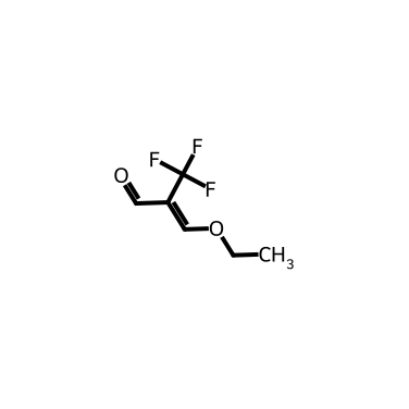 CCOC=C(C=O)C(F)(F)F